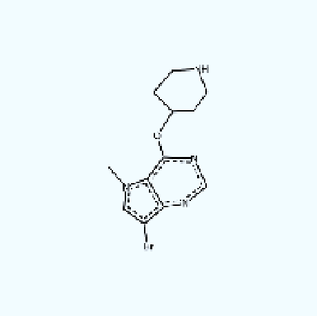 Cn1cc(Br)c2ncnc(OC3CCNCC3)c21